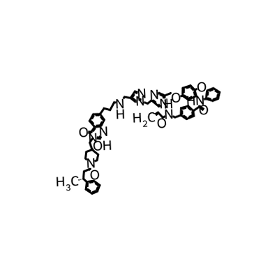 C=CC(=O)NCc1ccc(C(=O)Nc2ccccc2Oc2ccc(OCc3cnc(Cn4cc(CNCCCc5ccc6c(=O)n(CC7(O)CCN(C(=O)C[C@@H](C)c8ccccc8)CC7)cnc6c5)cn4)cn3)cc2)cc1